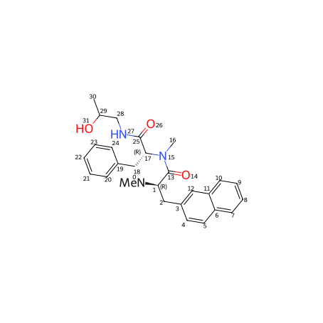 CN[C@H](Cc1ccc2ccccc2c1)C(=O)N(C)[C@H](Cc1ccccc1)C(=O)NCC(C)O